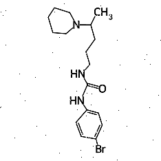 CC(CCCNC(=O)Nc1ccc(Br)cc1)N1CCCCC1